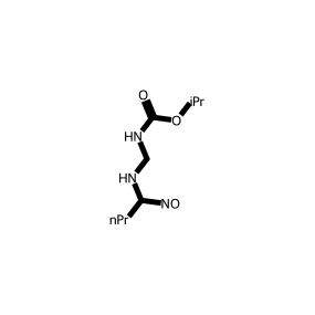 CCCC(N=O)NCNC(=O)OC(C)C